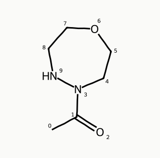 CC(=O)N1CCOCCN1